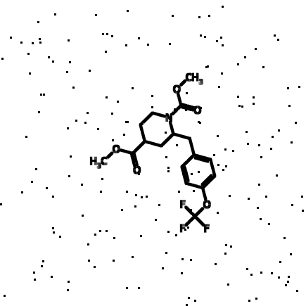 COC(=O)C1CCN(C(=O)OC)C(Cc2ccc(OC(F)(F)F)cc2)C1